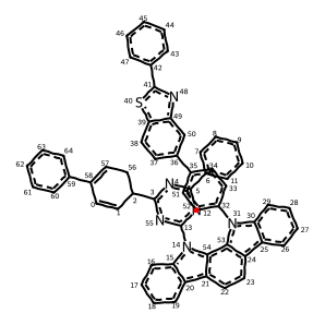 C1=CC(c2nc(-c3ccccc3)nc(-n3c4ccccc4c4ccc5c6ccccc6n(-c6ccc(-c7ccc8sc(-c9ccccc9)nc8c7)cc6)c5c43)n2)CC=C1c1ccccc1